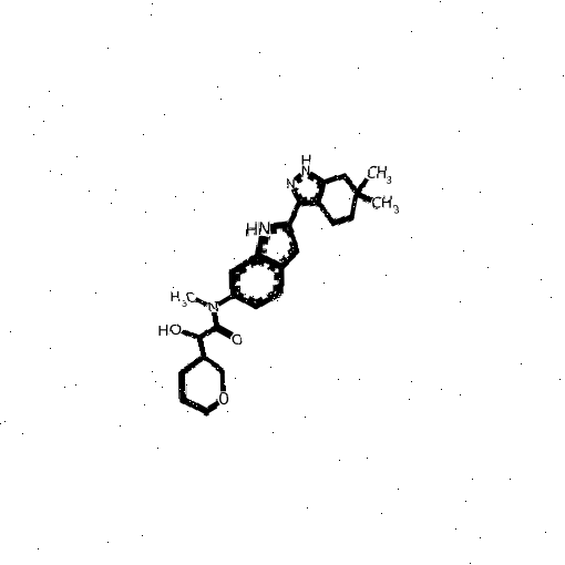 CN(C(=O)C(O)C1CCCOC1)c1ccc2cc(-c3n[nH]c4c3CCC(C)(C)C4)[nH]c2c1